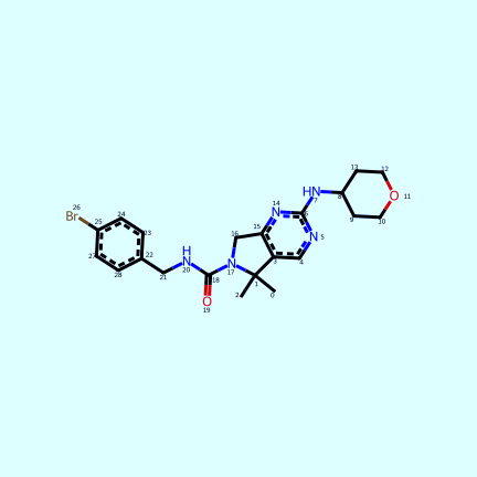 CC1(C)c2cnc(NC3CCOCC3)nc2CN1C(=O)NCc1ccc(Br)cc1